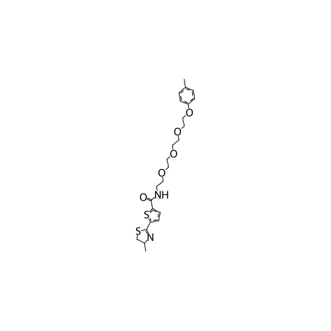 Cc1ccc(OCCOCCOCCOCCNC(=O)c2ccc(C3=NC(C)CS3)s2)cc1